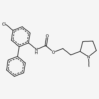 CN1CCCC1CCOC(=O)Nc1ccc(Cl)cc1-c1ccccc1